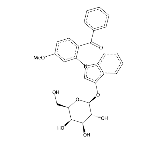 COc1ccc(C(=O)c2ccccc2)c(-n2cc(O[C@@H]3O[C@H](CO)[C@H](O)[C@H](O)[C@H]3O)c3ccccc32)c1